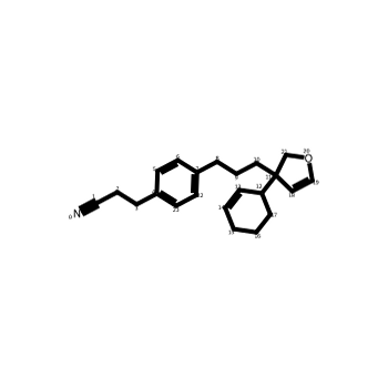 N#CCCc1ccc(CCCC2(C3C=CCCC3)C=COC2)cc1